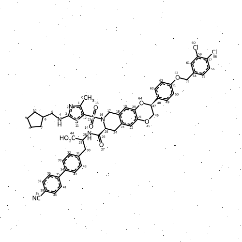 Cc1nc(NCC2CCCC2)sc1S(=O)(=O)N1Cc2cc3c(cc2C[C@H]1C(=O)NC(Cc1ccc(-c2ccc(C#N)cc2)cc1)C(=O)O)OC[C@H](c1ccc(OCc2ccc(Cl)c(Cl)c2)cc1)O3